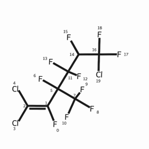 FC(=C(Cl)Cl)C(F)(C(F)(F)F)C(F)(F)C(F)C(F)(F)Cl